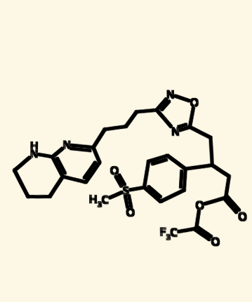 CS(=O)(=O)c1ccc(C(CC(=O)OC(=O)C(F)(F)F)Cc2nc(CCCc3ccc4c(n3)NCCC4)no2)cc1